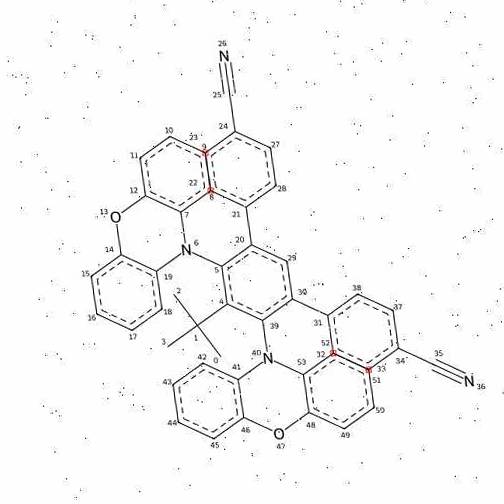 CC(C)(C)c1c(N2c3ccccc3Oc3ccccc32)c(-c2ccc(C#N)cc2)cc(-c2ccc(C#N)cc2)c1N1c2ccccc2Oc2ccccc21